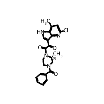 Cc1cc(Cl)nc2c(C(=O)C(=O)N3CCN(C(=O)c4ccccc4)C[C@H]3C)c[nH]c12